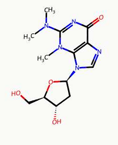 CN(C)c1nc(=O)c2ncn([C@H]3C[C@H](O)[C@@H](CO)O3)c2n1C